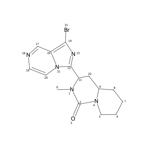 CN1C(=O)N2CCCCC2CC1c1nc(Br)c2cnccn12